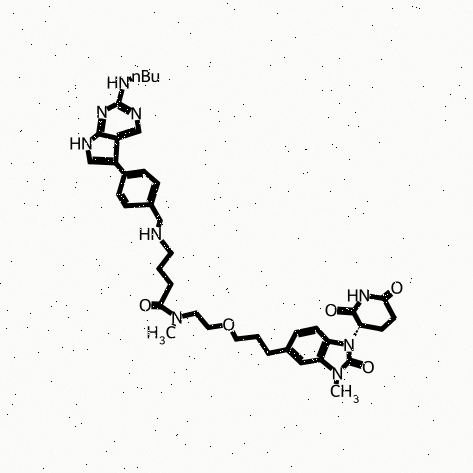 CCCCNc1ncc2c(-c3ccc(CNCCCC(=O)N(C)CCOCCCc4ccc5c(c4)n(C)c(=O)n5[C@H]4CCC(=O)NC4=O)cc3)c[nH]c2n1